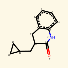 O=C1Nc2ccccc2CC1CC1CC1